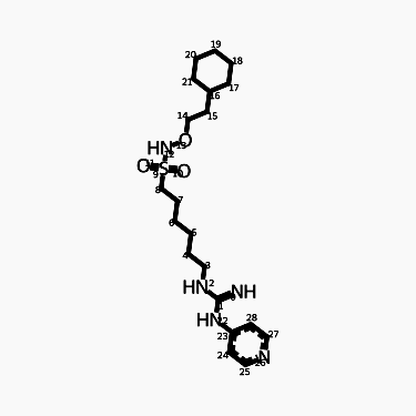 N=C(NCCCCCCS(=O)(=O)NOCCC1CCCCC1)Nc1ccncc1